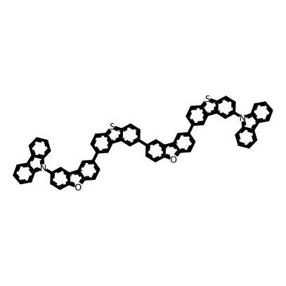 c1ccc2c(c1)c1ccccc1n2-c1ccc2oc3ccc(-c4ccc5sc6ccc(-c7ccc8oc9ccc(-c%10ccc%11sc%12ccc(-n%13c%14ccccc%14c%14ccccc%14%13)cc%12c%11c%10)cc9c8c7)cc6c5c4)cc3c2c1